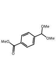 COC(=O)c1ccc(C(OC)OC)cc1